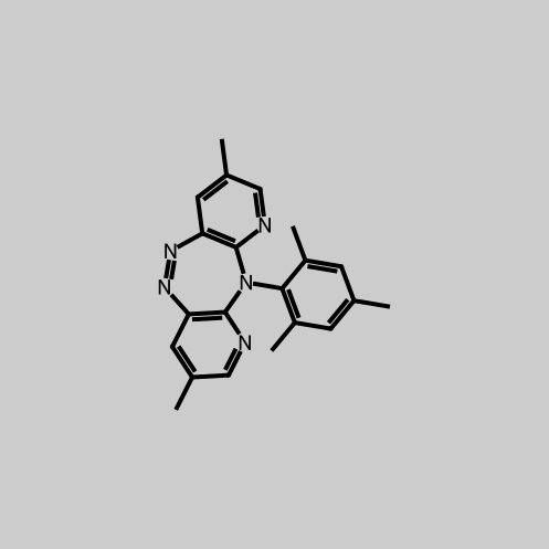 Cc1cc(C)c(N2c3ncc(C)cc3N=Nc3cc(C)cnc32)c(C)c1